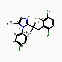 CC(C)(Cc1c(F)ccc(F)c1F)c1ncc(C=O)n1-c1ccc(F)cc1